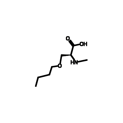 CCCCOC[C@H](NC)C(=O)O